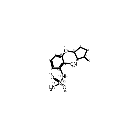 CC1CCC(Oc2cccc(NS(N)(=O)=O)c2C#N)C1